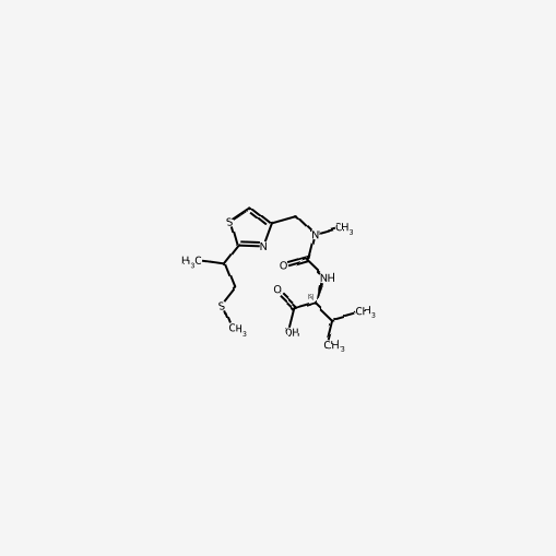 CSCC(C)c1nc(CN(C)C(=O)N[C@H](C(=O)O)C(C)C)cs1